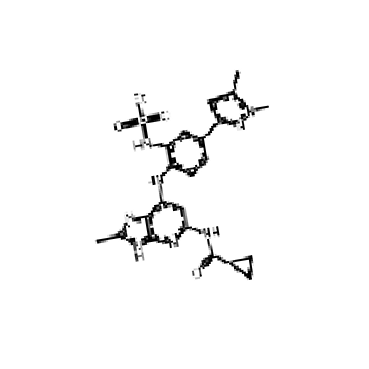 CCS(=O)(=O)Nc1cc(-c2cc(C)n(C)n2)ccc1Nc1cc(NC(=O)C2CC2)nc2[nH]c(C)nc12